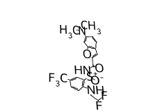 CN(C)c1ccc2cc(C(=O)N[S+]([O-])c3cc(C(F)(F)F)ccc3NCC(F)F)oc2c1